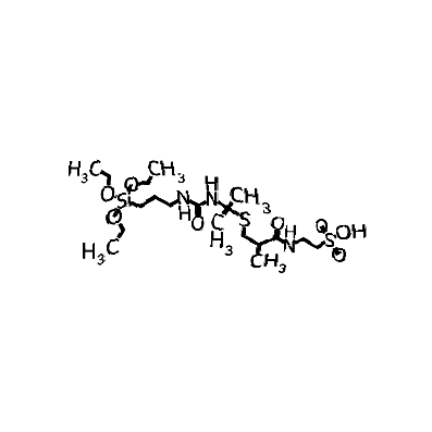 CCO[Si](CCCNC(=O)NC(C)(C)SCC(C)C(=O)NCCS(=O)(=O)O)(OCC)OCC